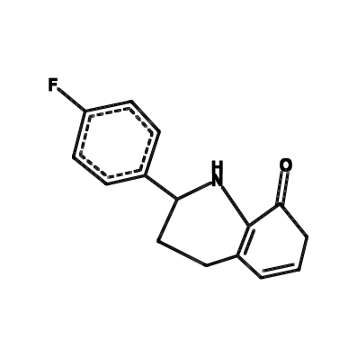 O=C1CC=CC2=C1NC(c1ccc(F)cc1)CC2